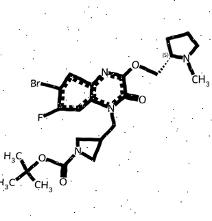 CN1CCC[C@H]1COc1nc2cc(Br)c(F)cc2n(CC2CN(C(=O)OC(C)(C)C)C2)c1=O